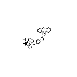 COC(Cc1ccc(OCCN2c3ccccc3Cc3ccccc32)cc1)C(=O)O